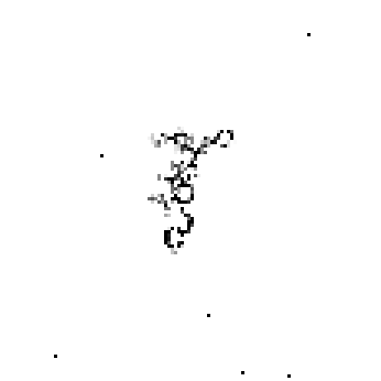 Nc1nc(/C(=N\OC2CCCC2)C(=O)NC2C(=O)N3C(C(=O)O)=C(S/C=C\c4cccnc4)CS[C@H]23)ns1